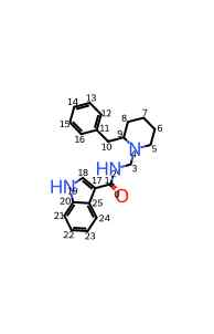 O=C(NCN1CCCCC1Cc1ccccc1)c1c[nH]c2ccccc12